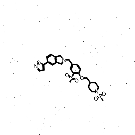 CS(=O)(=O)c1cc(CN2Cc3ccc(-c4ccno4)cc3C2)ccc1OCC1CCN(S(C)(=O)=O)CC1